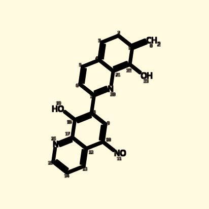 C=C1CC=c2ccc(-c3cc(N=O)c4cccnc4c3O)nc2=C1O